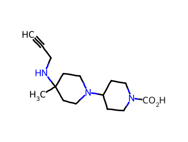 C#CCNC1(C)CCN(C2CCN(C(=O)O)CC2)CC1